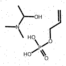 C=CCOP(=O)(O)O.CC(O)N(C)C